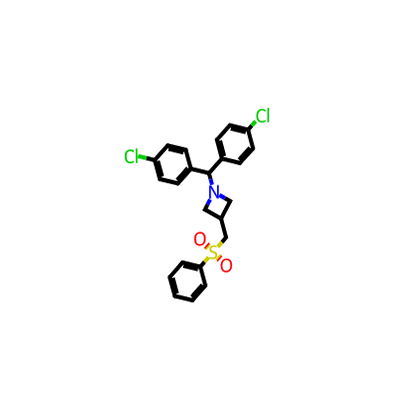 O=S(=O)(CC1CN(C(c2ccc(Cl)cc2)c2ccc(Cl)cc2)C1)c1ccccc1